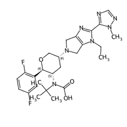 CCn1c(-c2ncnn2C)nc2c1CN([C@H]1CO[C@H](c3cc(F)ccc3F)[C@@H](N(C(=O)O)C(C)(C)C)C1)C2